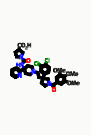 COc1cc(C(=O)N2CCC(CCN3CCC(NC(=O)N4CCC(C(=O)O)C4)(c4ccccn4)CC3)(c3ccc(Cl)c(Cl)c3)C2)cc(OC)c1OC